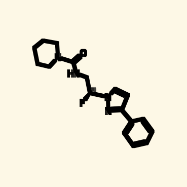 O=C(NC[C@H](F)n1ccc(-c2ccccc2)n1)N1CCCCC1